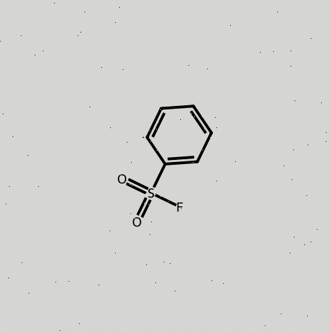 O=S(=O)(F)c1[c]cccc1